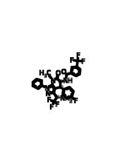 CCN1C(=O)[C@@H](NC(=O)c2cccc(C(F)(F)F)c2)[C@@H](c2ccc(F)cc2)c2c([C@H](N)C(F)(F)F)nn(-c3ccccc3)c21